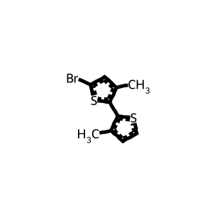 Cc1ccsc1-c1sc(Br)cc1C